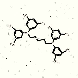 FC(F)(F)c1cc(P(CCCCCP(c2cc(C(F)(F)F)cc(C(F)(F)F)c2)c2cc(C(F)(F)F)cc(C(F)(F)F)c2)c2cc(C(F)(F)F)cc(C(F)(F)F)c2)cc(C(F)(F)F)c1